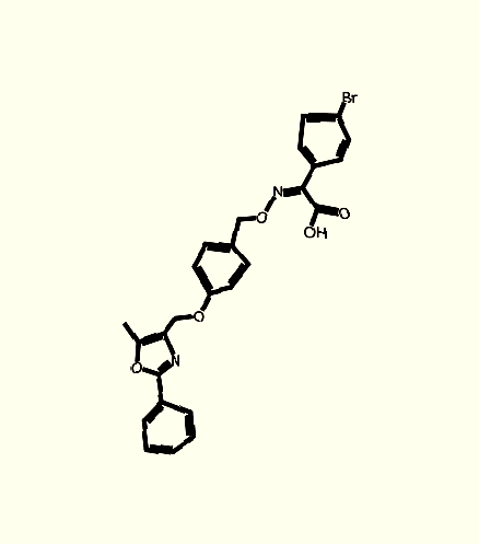 Cc1oc(-c2ccccc2)nc1COc1ccc(CON=C(C(=O)O)c2ccc(Br)cc2)cc1